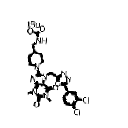 Cn1c(=O)c2c(nc(N3CCC(CNC(=O)OC(C)(C)C)CC3)n2Cc2nnc(-c3ccc(Cl)c(Cl)c3)o2)n(C)c1=O